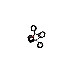 C1=CC2CC(C1)C(P(c1ccccc1)c1ccccc1)[C@@H]2P(c1ccccc1)c1ccccc1